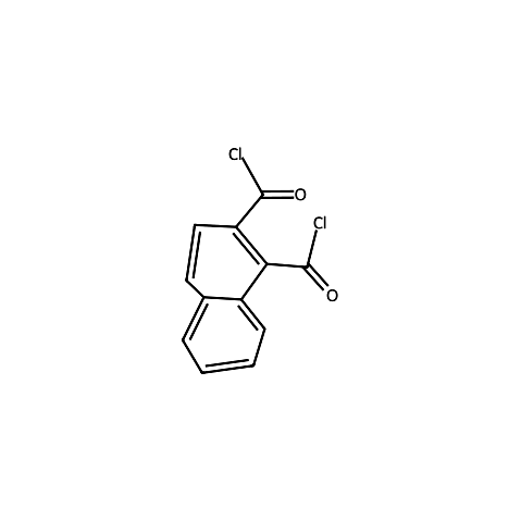 O=C(Cl)c1ccc2ccccc2c1C(=O)Cl